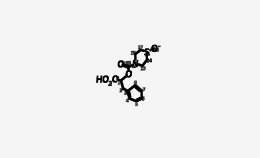 O=C(O)[C@H](Cc1ccccc1)OC(=O)N1CC[S+]([O-])CC1